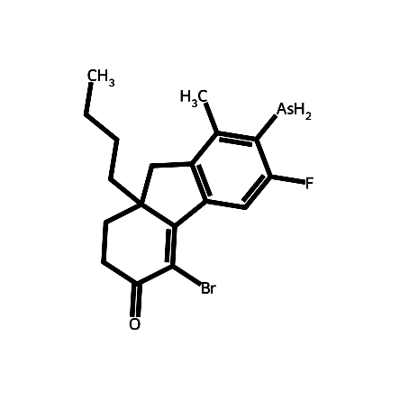 CCCCC12CCC(=O)C(Br)=C1c1cc(F)c([AsH2])c(C)c1C2